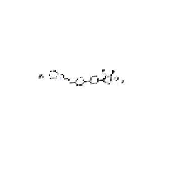 CCCOc1ccc(-c2ccc(C3CCC(CC/C=C/C4CCC(CCC)CC4)CC3)cc2)c(F)c1F